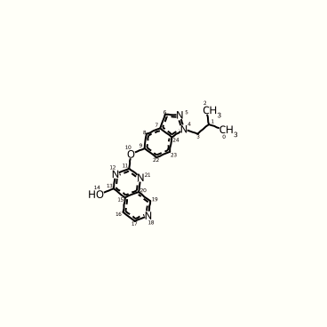 CC(C)Cn1ncc2cc(Oc3nc(O)c4ccncc4n3)ccc21